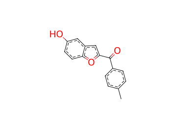 Cc1ccc(C(=O)c2cc3cc(O)ccc3o2)cc1